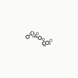 O=C(Nc1ccc(Oc2ccnc3cnc(Cl)cc23)cc1)C1=CC=CN(c2ccccc2)C1